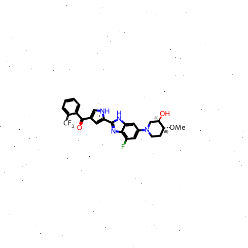 CO[C@@H]1CCN(c2cc(F)c3nc(-c4cc(C(=O)c5ccccc5C(F)(F)F)c[nH]4)[nH]c3c2)C[C@H]1O